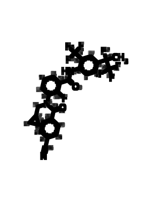 CC(F)(c1ccc(NC(=O)c2cccc(N(CC3CC3)C(=O)c3ccc(C#N)cc3)c2F)c(C(F)(F)F)c1)C(F)(F)F